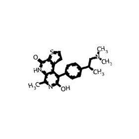 Cc1nc(O)c(-c2ccc(C(C)CN(C)C)cc2)c2c1[nH]c(=O)c1sccc12